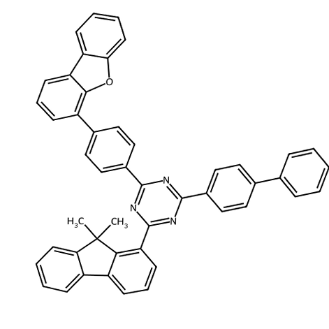 CC1(C)c2ccccc2-c2cccc(-c3nc(-c4ccc(-c5ccccc5)cc4)nc(-c4ccc(-c5cccc6c5oc5ccccc56)cc4)n3)c21